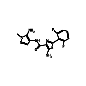 Cn1ncc(NC(=O)c2nc(-c3c(F)cccc3F)sc2N)c1N